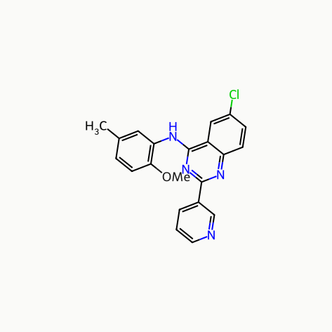 COc1ccc(C)cc1Nc1nc(-c2cccnc2)nc2ccc(Cl)cc12